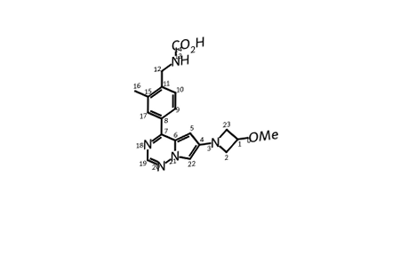 COC1CN(c2cc3c(-c4ccc(CNC(=O)O)c(C)c4)ncnn3c2)C1